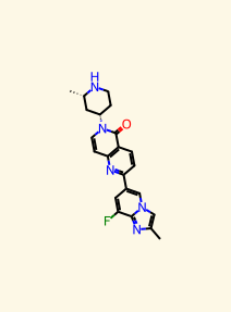 Cc1cn2cc(-c3ccc4c(=O)n([C@H]5CCN[C@@H](C)C5)ccc4n3)cc(F)c2n1